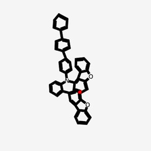 c1ccc(-c2ccc(-c3ccc(N(c4ccccc4-c4ccc5oc6ccccc6c5c4)c4cccc5oc6ccccc6c45)cc3)cc2)cc1